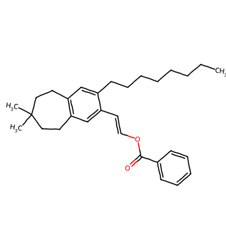 CCCCCCCCc1cc2c(cc1C=COC(=O)c1ccccc1)CCC(C)(C)CC2